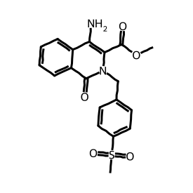 COC(=O)c1c(N)c2ccccc2c(=O)n1Cc1ccc(S(C)(=O)=O)cc1